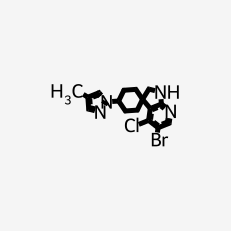 Cc1cnn(C2CCC3(CC2)CNc2ncc(Br)c(Cl)c23)c1